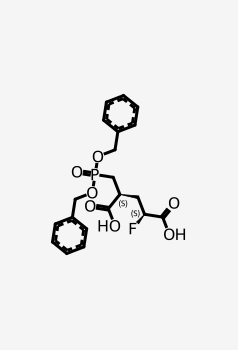 O=C(O)[C@H](C[C@H](F)C(=O)O)CP(=O)(OCc1ccccc1)OCc1ccccc1